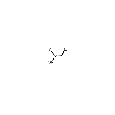 CCC[S+]([O-])N=O